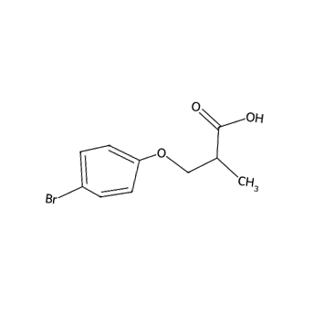 CC(COc1ccc(Br)cc1)C(=O)O